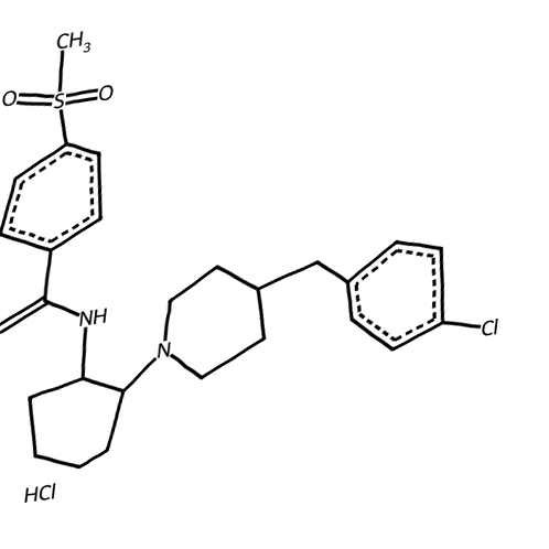 CS(=O)(=O)c1ccc(C(=O)NC2CCCCC2N2CCC(Cc3ccc(Cl)cc3)CC2)cc1.Cl